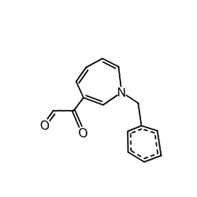 O=CC(=O)C1=CN(Cc2ccccc2)C=CC=C1